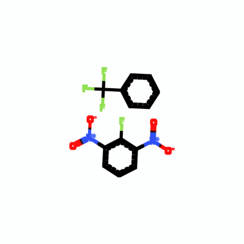 FC(F)(F)c1ccccc1.O=[N+]([O-])c1cccc([N+](=O)[O-])c1F